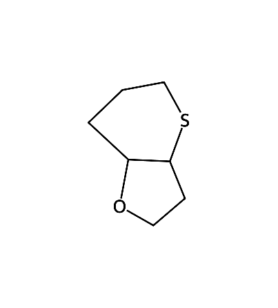 C1CSC2CCOC2C1